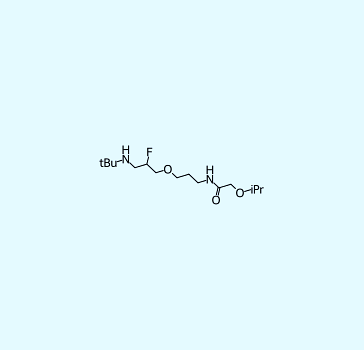 CC(C)OCC(=O)NCCCOCC(F)CNC(C)(C)C